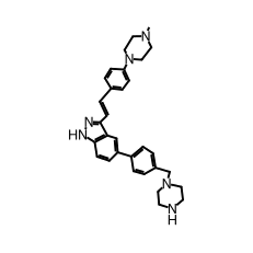 CN1CCN(c2ccc(C=Cc3n[nH]c4ccc(-c5ccc(CN6CCNCC6)cc5)cc34)cc2)CC1